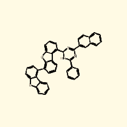 c1ccc(C2=NC(c3ccc4ccccc4c3)=NC(c3cccc4oc5c(-c6cccc7oc8ccccc8c67)cccc5c34)N2)cc1